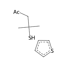 CC(=O)CC(C)(C)S.c1ccsc1